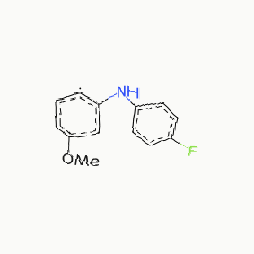 COc1cc[c]c(Nc2ccc(F)cc2)c1